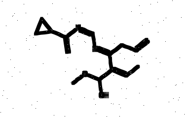 C=CCC(=N\C=N/C(=C)C1CC1)/C(=C\C)C(O)OC